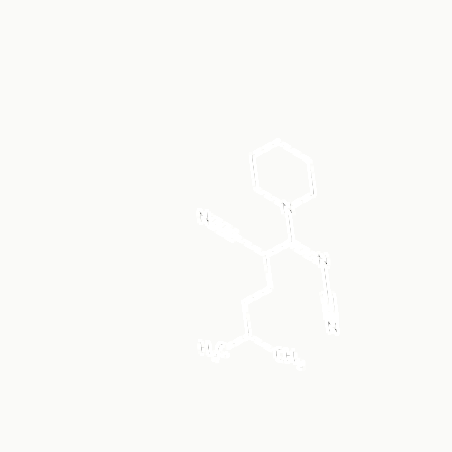 CC(C)CCC(C#N)C(=NC#N)N1CCCCC1